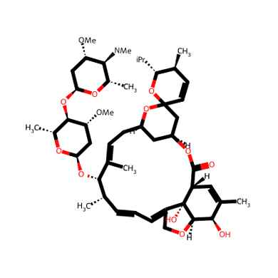 CN[C@H]1[C@H](C)O[C@@H](O[C@@H]2[C@@H](C)O[C@H](O[C@@H]3/C(C)=C/C[C@@H]4C[C@@H](CC5(C=C[C@H](C)[C@@H](C(C)C)O5)O4)OC(=O)[C@@H]4C=C(C)[C@@H](O)[C@H]5OC/C(=C\C=C\[C@@H]3C)[C@]54O)C[C@H]2OC)C[C@@H]1OC